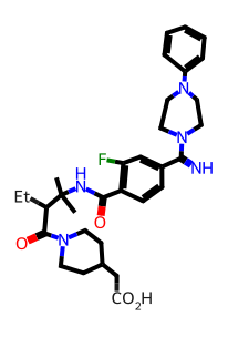 CCC(C(=O)N1CCC(CC(=O)O)CC1)C(C)(C)NC(=O)c1ccc(C(=N)N2CCN(c3ccccc3)CC2)cc1F